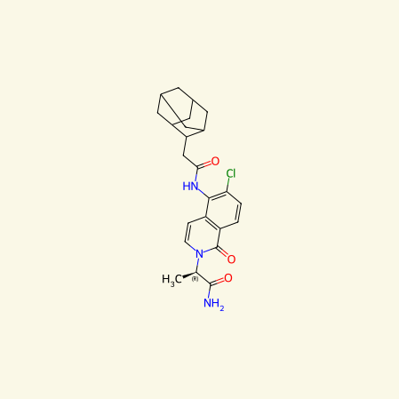 C[C@H](C(N)=O)n1ccc2c(NC(=O)CC3C4CC5CC(C4)CC3C5)c(Cl)ccc2c1=O